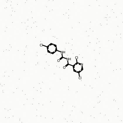 O=C(NC(=O)c1cc(Cl)cnc1Cl)Nc1ccc(Cl)cc1